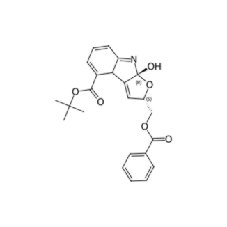 CC(C)(C)OC(=O)C1=CC=CC2=N[C@]3(O)O[C@H](COC(=O)c4ccccc4)C=C3C12